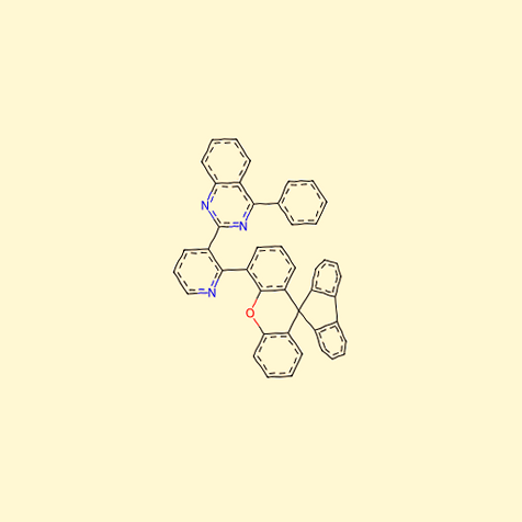 c1ccc(-c2nc(-c3cccnc3-c3cccc4c3Oc3ccccc3C43c4ccccc4-c4ccccc43)nc3ccccc23)cc1